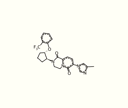 Cc1cn(-c2ccc3n(c2=O)CCN([C@H]2CCC[C@@H]2Oc2ccccc2C(F)(F)F)C3=O)cn1